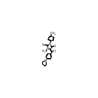 Cc1ccc(N2C(=O)C(=Cc3ccc(N4CCCC4)cc3)N(C)C2=[Se])cc1.Cl